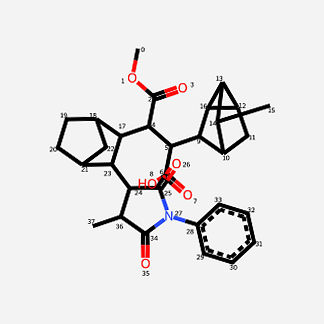 COC(=O)C(C(C(=O)O)C1C2CC3C(C2C)C31)C1C2CCC(C2)C1C1C(=O)N(c2ccccc2)C(=O)C1C